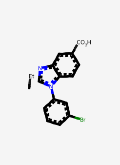 CCC.O=C(O)c1ccc2c(c1)ncn2-c1cccc(Br)c1